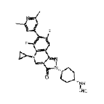 Cc1cc(-c2c(F)cc3c4nn([C@H]5CC[C@@H](NC=O)CC5)c(=O)c-4cn(C4CC4)c3c2F)cc(C)n1